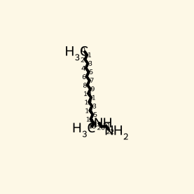 CCCCCCCCCCCCCCCCCC(C)NCCN